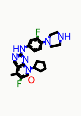 Cc1c(F)c(=O)n(C2CCCC2)c2nc(Nc3ccc(N4CCNCC4)c(F)c3)ncc12